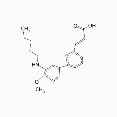 CCCCCNc1cc(-c2cccc(C=CC(=O)O)c2)ccc1OC